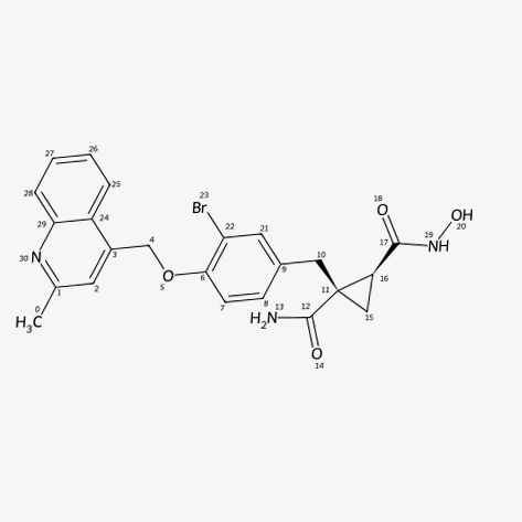 Cc1cc(COc2ccc(C[C@]3(C(N)=O)C[C@@H]3C(=O)NO)cc2Br)c2ccccc2n1